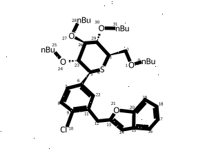 CCCCOC[C@H]1S[C@@H](c2ccc(Cl)c(Cc3cc4ccccc4o3)c2)[C@H](OCCCC)[C@@H](OCCCC)[C@@H]1OCCCC